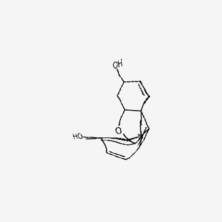 CN1CCC23C=CC(O)CC2Oc2c(O)ccc(c23)C1